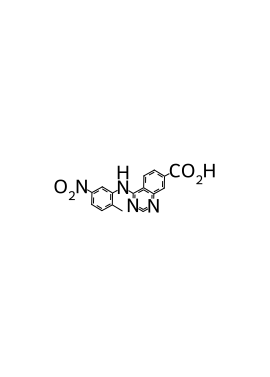 Cc1ccc([N+](=O)[O-])cc1Nc1ncnc2cc(C(=O)O)ccc12